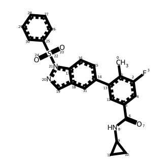 Cc1c(F)cc(C(=O)NC2CC2)cc1-c1ccc2c(cnn2S(=O)(=O)c2ccccc2)c1